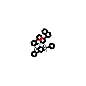 c1ccc(-c2nc3cc4c(oc5ccccc54)c(N(c4ccc(-c5cccc6ccccc56)cc4)c4ccccc4-c4ccccc4)c3o2)cc1